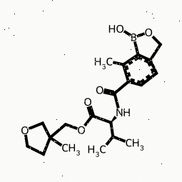 Cc1c(C(=O)N[C@H](C(=O)OCC2(C)CCOC2)C(C)C)ccc2c1B(O)OC2